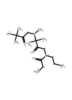 CN(CC(=O)C(C)(C)O)C(C)(C)C(=O)CN(CCN)C(=O)CN